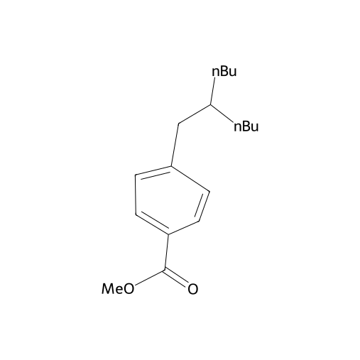 CCCCC(CCCC)Cc1ccc(C(=O)OC)cc1